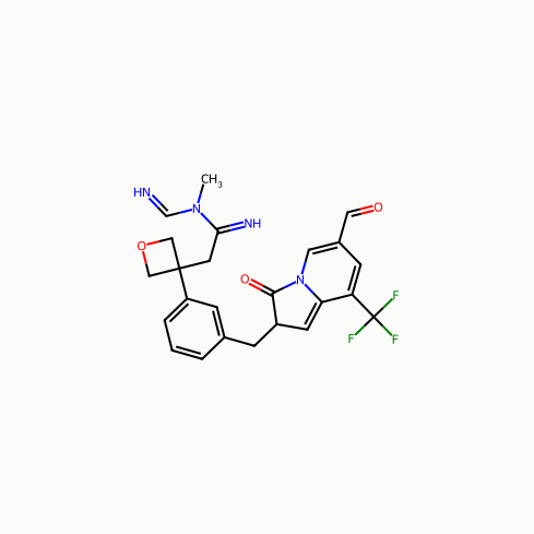 CN(C=N)C(=N)CC1(c2cccc(CC3C=C4C(C(F)(F)F)=CC(C=O)=CN4C3=O)c2)COC1